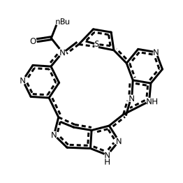 CCCCC(=O)n1c2cncc(c2)c2cc3c(cn2)[nH]nc3c2nc3c(cncc3c3ccc1s3)[nH]2